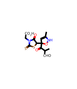 CC1=CC(C(=O)C(C)C=O)(C2SC(=S)N(CC(=O)O)C2=O)ON1